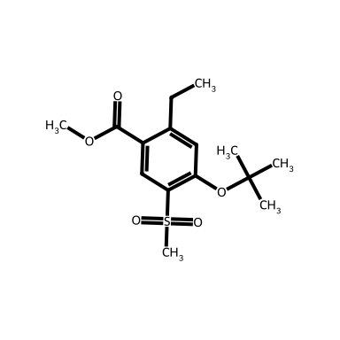 CCc1cc(OC(C)(C)C)c(S(C)(=O)=O)cc1C(=O)OC